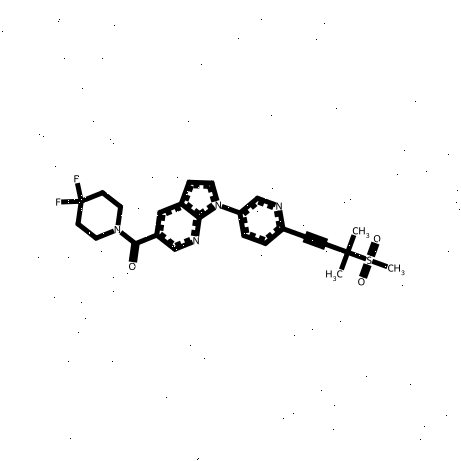 CC(C)(C#Cc1ccc(-n2ccc3cc(C(=O)N4CCC(F)(F)CC4)cnc32)cn1)S(C)(=O)=O